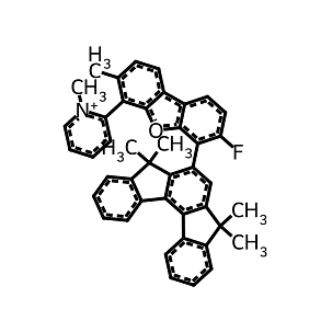 Cc1ccc2c(oc3c(-c4cc5c(c6c4C(C)(C)c4ccccc4-6)-c4ccccc4C5(C)C)c(F)ccc32)c1-c1cccc[n+]1C